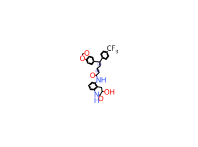 O=C(/C=C/C=C(/c1ccc(C(F)(F)F)cc1)c1ccc2c(c1)OCO2)Nc1cccc2c1CC(O)C(=O)N2